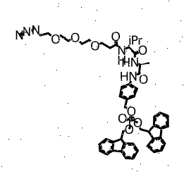 CC(C)[C@H](NC(=O)CCOCCOCCOCCN=[N+]=[N-])C(=O)N[C@@H](C)C(=O)Nc1ccc(COP(=O)(OCC2c3ccccc3-c3ccccc32)OCC2c3ccccc3-c3ccccc32)cc1